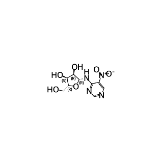 O=[N+]([O-])c1cncnc1N[C@@H]1O[C@H](CO)[C@@H](O)[C@H]1O